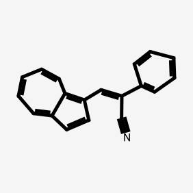 N#CC(=Cc1ccc2cccccc1-2)c1ccccc1